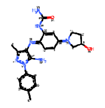 Cc1ccc(-n2nc(C)c(N=C3C=CC(=[N+]4CCC(O)C4)C=C3NC(N)=O)c2N)cc1